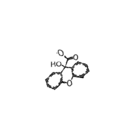 [O]C(=O)C1(O)c2ccccc2Oc2ccccc21